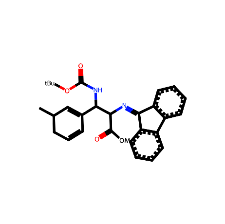 COC(=O)C(N=C1c2ccccc2-c2ccccc21)C(NC(=O)OC(C)(C)C)C1=CC(C)CC=C1